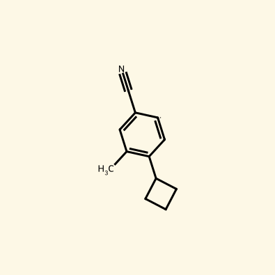 Cc1cc(C#N)[c]cc1C1CCC1